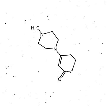 CN1CCN(C2=CC(=O)CCC2)CC1